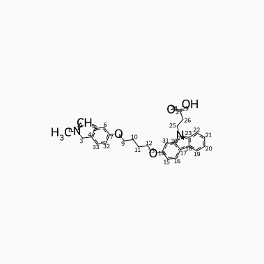 CN(C)Cc1ccc(OCCCCOc2ccc3c4ccccc4n(CCC(=O)O)c3c2)cc1